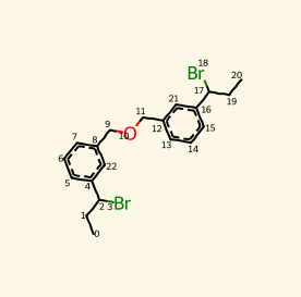 CCC(Br)c1cccc(COCc2cccc(C(Br)CC)c2)c1